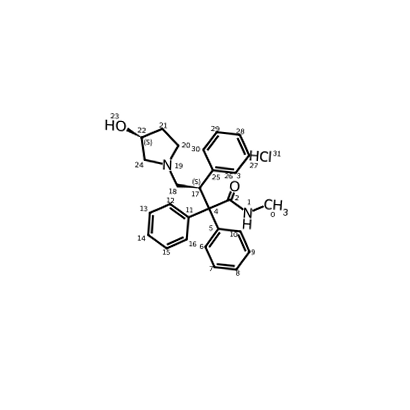 CNC(=O)C(c1ccccc1)(c1ccccc1)[C@@H](CN1CC[C@H](O)C1)c1ccccc1.Cl